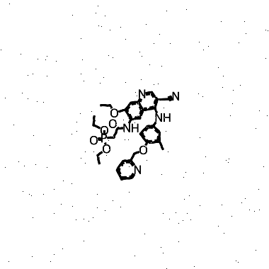 CCOc1cc2ncc(C#N)c(Nc3ccc(OCc4ccccn4)c(C)c3)c2cc1NC(=O)CP(=O)(OCC)OCC